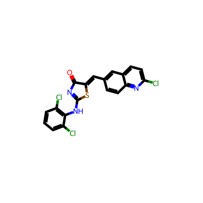 O=C1N=C(Nc2c(Cl)cccc2Cl)S/C1=C\c1ccc2nc(Cl)ccc2c1